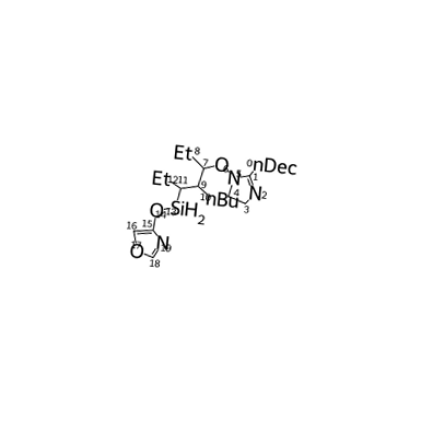 CCCCCCCCCCC1=NCCN1OC(CC)C(CCCC)C(CC)[SiH2]Oc1cocn1